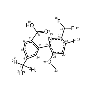 [2H]C([2H])([2H])c1ccc(C(=O)O)c(-c2nc(C(F)F)c(F)cc2OC)c1